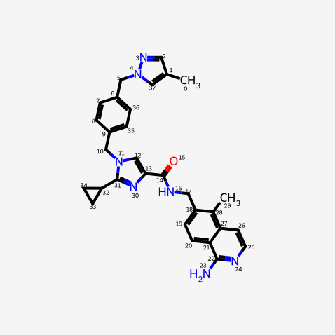 Cc1cnn(Cc2ccc(Cn3cc(C(=O)NCc4ccc5c(N)nccc5c4C)nc3C3CC3)cc2)c1